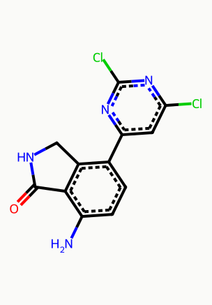 Nc1ccc(-c2cc(Cl)nc(Cl)n2)c2c1C(=O)NC2